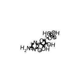 Nc1cnn([C@@H]2O[C@H](COP(=O)(O)O)[C@@H](O)[C@H]2O)c(=O)n1